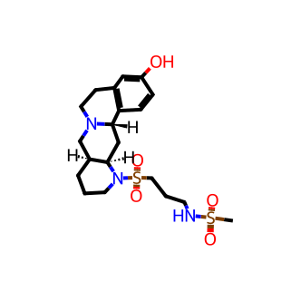 CS(=O)(=O)NCCCS(=O)(=O)N1CCC[C@H]2CN3CCc4cc(O)ccc4[C@@H]3C[C@H]21